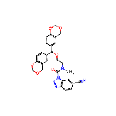 CN(CCOC(c1ccc2c(c1)COCO2)c1ccc2c(c1)COCO2)C(=O)n1nnc2ccc(C#N)cc21